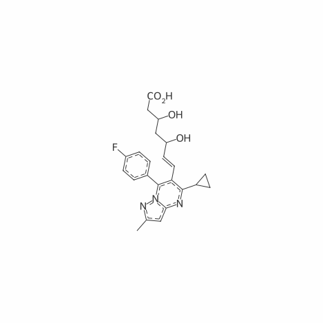 Cc1cc2nc(C3CC3)c(/C=C/C(O)CC(O)CC(=O)O)c(-c3ccc(F)cc3)n2n1